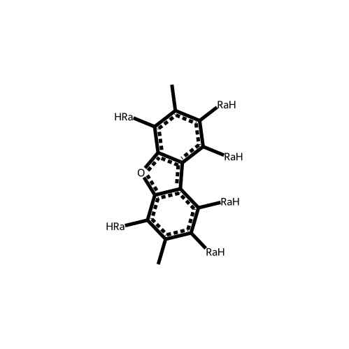 Cc1[c]([RaH])[c]([RaH])c2c(oc3[c]([RaH])c(C)[c]([RaH])[c]([RaH])c32)[c]1[RaH]